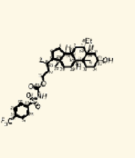 CC[C@H]1C[C@H]2C3CCC([C@H](C)CCOC(=O)NS(=O)(=O)c4ccc(C(F)(F)F)cc4)[C@@]3(C)CC[C@@H]2[C@@]2(C)CC[C@@H](O)C[C@@H]12